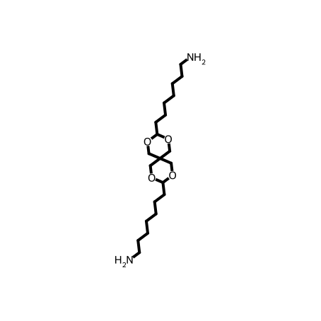 NCCCCCCCC1OCC2(CO1)COC(CCCCCCCN)OC2